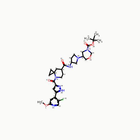 COc1cc(-c2cc(C(=O)N3CCC(C(=O)NC4CCN(C5COCN(C(=O)OC(C)(C)C)C5)C4)CC34CC4)n[nH]2)c(F)cn1